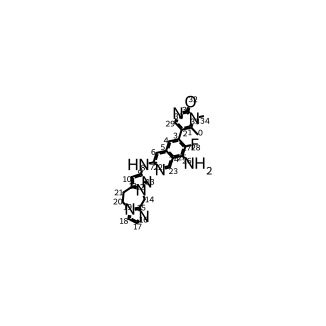 Cc1c(-c2cc3cc(Nc4cc5n(n4)Cc4nccn4CC5)ncc3c(N)c2F)cnc(=O)n1C